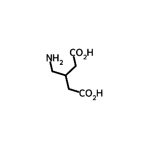 NCC(CC(=O)O)CC(=O)O